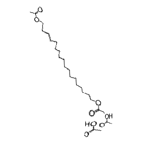 CC(=O)O.CC(=O)O.CC(=O)OCCCCCCCCCCCCCCCCCCOC(C)=O